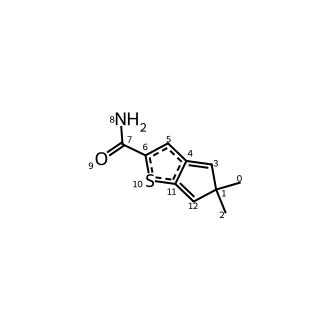 CC1(C)C=c2cc(C(N)=O)sc2=C1